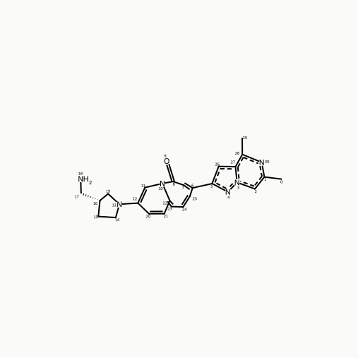 Cc1cn2nc(C3=C\C(=O)N4C=C(N5CC[C@H](CN)C5)C=C\C4=C/C=C/3)cc2c(C)n1